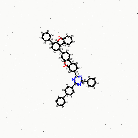 c1ccc(-c2ccc(-c3nc(-c4ccccc4)nc(-c4ccc5c(c4)oc4cc(-c6ccc(-c7ccccc7)c7oc8ccccc8c67)ccc45)n3)cc2)cc1